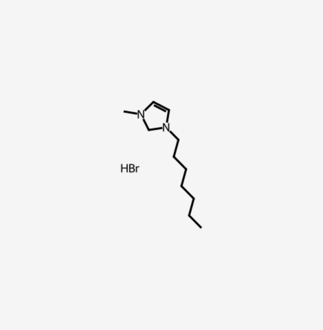 Br.CCCCCCCN1C=CN(C)C1